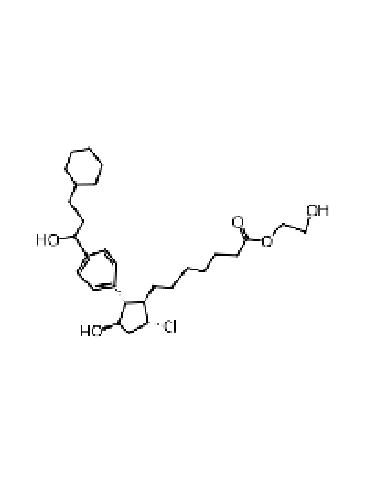 O=C(CCCCCC[C@@H]1[C@@H](c2ccc(C(O)CCC3CCCCC3)cc2)[C@H](O)C[C@H]1Cl)OCCO